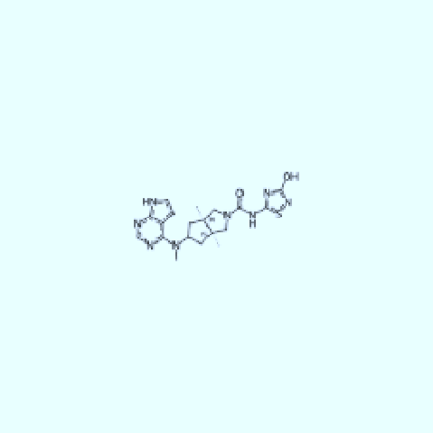 CN(c1ncnc2[nH]ccc12)C1C[C@@]2(C)CN(C(=O)Nc3nc(O)ns3)C[C@@]2(C)C1